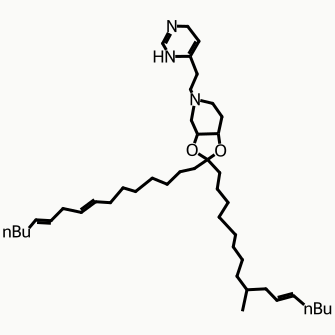 CCCC/C=C/C/C=C/CCCCCCCC1(CCCCCCCCC(C)C/C=C/CCCC)OC2CCN(CCC3=CCN=CN3)CC2O1